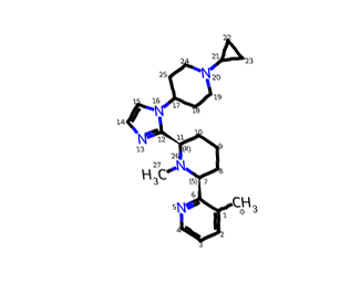 Cc1cccnc1[C@@H]1CCC[C@H](c2nccn2C2CCN(C3CC3)CC2)N1C